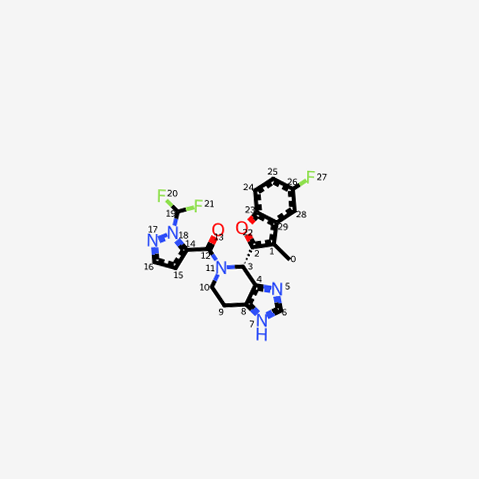 Cc1c([C@@H]2c3nc[nH]c3CCN2C(=O)c2ccnn2C(F)F)oc2ccc(F)cc12